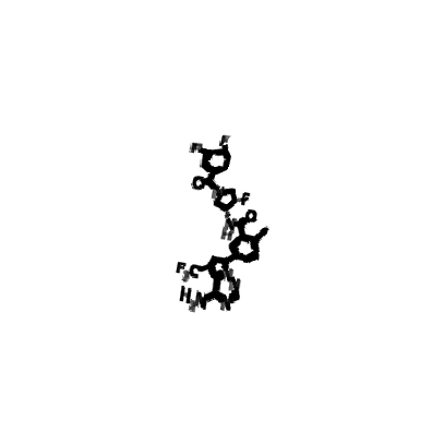 Cc1ccc(-c2cc(C(F)(F)F)c3c(N)ncnn23)cc1C(=O)N[C@@H]1CN(C(=O)c2ccc(F)c(F)c2)C[C@@H]1F